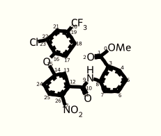 COC(=O)c1ccccc1NC(=O)c1cc(Oc2ccc(C(F)(F)F)cc2Cl)ccc1[N+](=O)[O-]